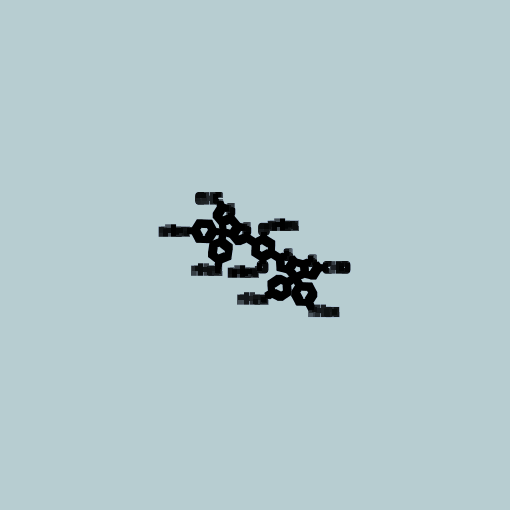 CCCCCCOc1cc(-c2cc3c(s2)-c2sc(C=O)cc2C3(c2ccc(CCCCCC)cc2)c2ccc(CCCCCC)cc2)c(OCCCCCC)cc1-c1cc2c(s1)-c1sc(C=O)cc1C2(c1ccc(CCCCCC)cc1)c1ccc(CCCCCC)cc1